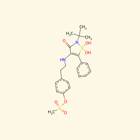 CC(C)(C)N1C(=O)C(NCCc2ccc(OS(C)(=O)=O)cc2)=C(c2ccccc2)S1(O)O